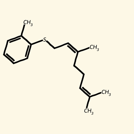 CC(C)=CCCC(C)=CCSc1ccccc1C